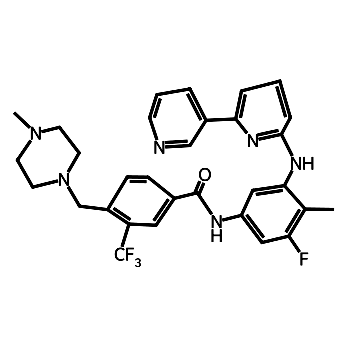 Cc1c(F)cc(NC(=O)c2ccc(CN3CCN(C)CC3)c(C(F)(F)F)c2)cc1Nc1cccc(-c2cccnc2)n1